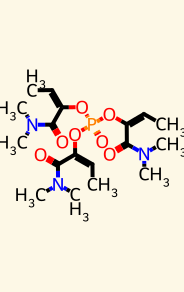 C/C=C(/OP(=O)(O/C(=C/C)C(=O)N(C)C)O/C(=C/C)C(=O)N(C)C)C(=O)N(C)C